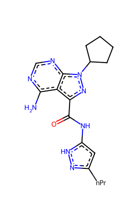 CCCc1cc(NC(=O)c2nn(C3CCCC3)c3ncnc(N)c23)[nH]n1